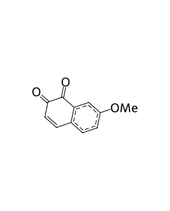 COc1ccc2c(c1)C(=O)C(=O)C=C2